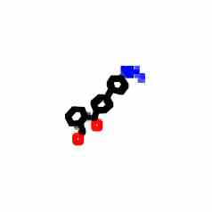 Nc1ccc(-c2ccc(C(=O)[C@@H]3CCCC[C@@H]3C=O)cc2)cc1